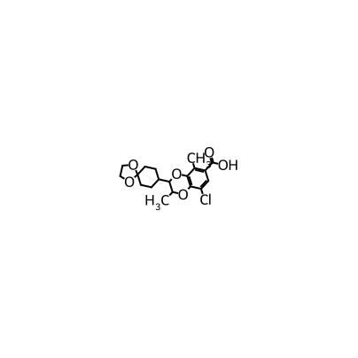 Cc1c(C(=O)O)cc(Cl)c2c1OC(C1CCC3(CC1)OCCO3)C(C)O2